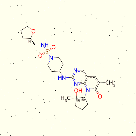 Cc1cc2cnc(NC3CCN(S(=O)(=O)NC[C@H]4CCCO4)CC3)nc2n([C@@H]2CCC[C@@]2(C)O)c1=O